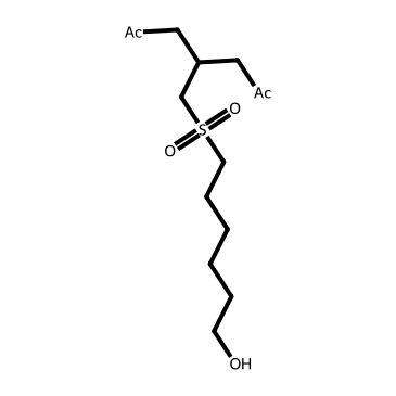 CC(=O)CC(CC(C)=O)CS(=O)(=O)CCCCCCO